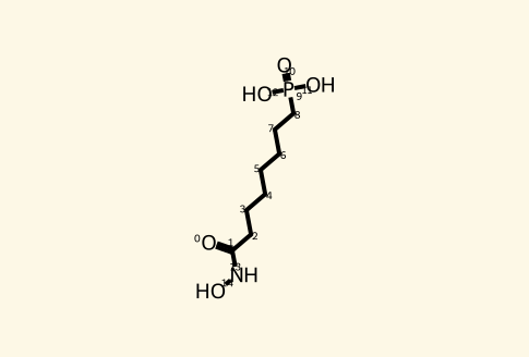 O=C(CCCCCCCP(=O)(O)O)NO